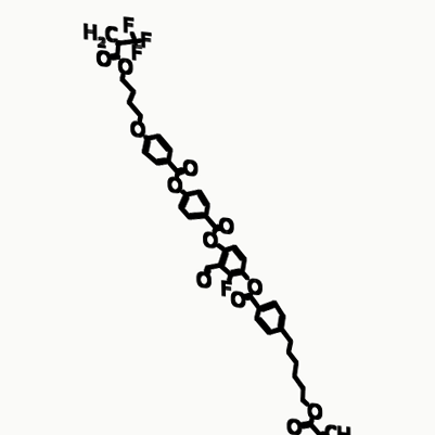 C=C(C)C(=O)OCCCCCCc1ccc(C(=O)Oc2ccc(OC(=O)c3ccc(OC(=O)c4ccc(OCCCCOC(=O)C(=C)C(F)(F)F)cc4)cc3)c(C=O)c2F)cc1